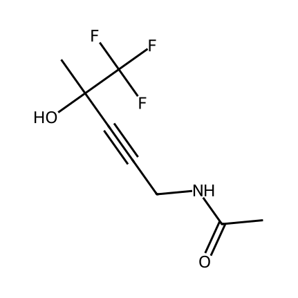 CC(=O)NCC#CC(C)(O)C(F)(F)F